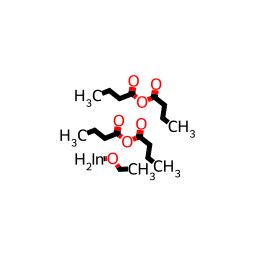 CCCC(=O)OC(=O)CCC.CCCC(=O)OC(=O)CCC.CC[O][InH2]